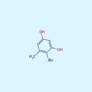 CCC(C)c1c(C)cc(O)cc1O